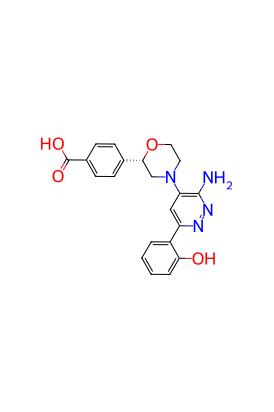 Nc1nnc(-c2ccccc2O)cc1N1CCO[C@@H](c2ccc(C(=O)O)cc2)C1